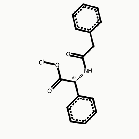 O=C(Cc1ccccc1)N[C@@H](C(=O)OCl)c1ccccc1